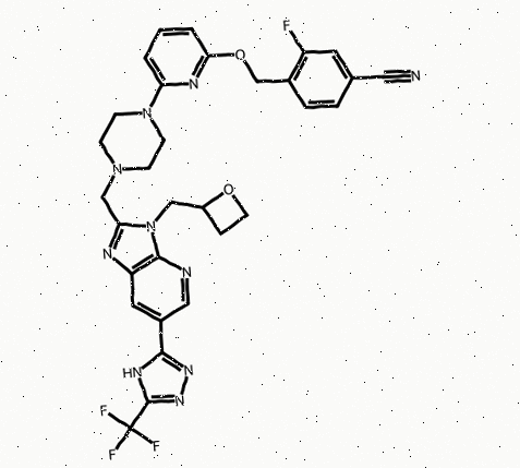 N#Cc1ccc(COc2cccc(N3CCN(Cc4nc5cc(-c6nnc(C(F)(F)F)[nH]6)cnc5n4CC4CCO4)CC3)n2)c(F)c1